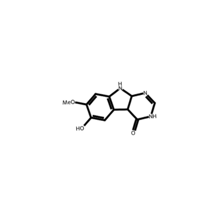 COc1cc2c(cc1O)C1C(=O)NC=NC1N2